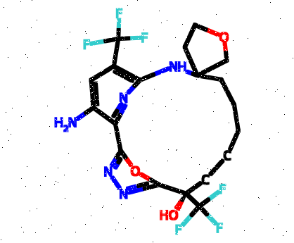 Nc1cc(C(F)(F)F)c2nc1-c1nnc(o1)[C@@](O)(C(F)(F)F)CCCCCC1(CCOC1)N2